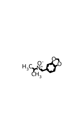 CC(C)[N+]([O-])=Cc1ccc2c(c1)OCO2